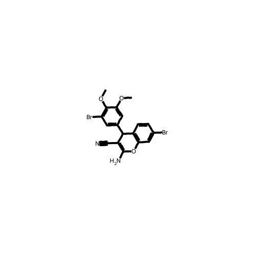 COc1cc(C2C(C#N)=C(N)Oc3cc(Br)ccc32)cc(Br)c1OC